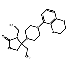 CCN1C(=O)NCC1(CC)N1CCN(c2cccc3c2OCCO3)CC1